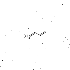 B.C=CC=C